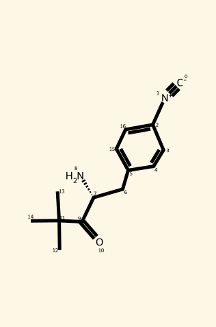 [C-]#[N+]c1ccc(C[C@@H](N)C(=O)C(C)(C)C)cc1